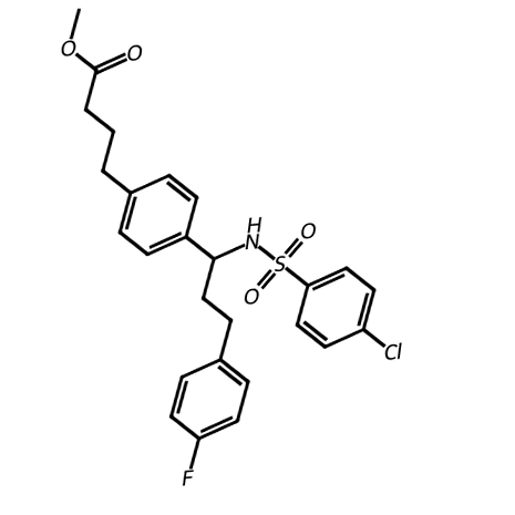 COC(=O)CCCc1ccc(C(CCc2ccc(F)cc2)NS(=O)(=O)c2ccc(Cl)cc2)cc1